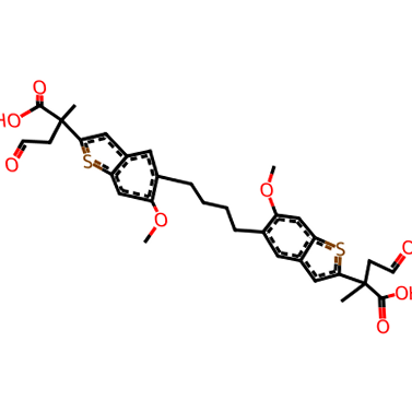 COc1cc2sc(C(C)(CC=O)C(=O)O)cc2cc1CCCCc1cc2cc(C(C)(CC=O)C(=O)O)sc2cc1OC